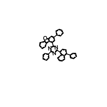 c1ccc(-c2cc(-c3nc(-c4ccccc4)nc(-c4ccc(-c5ccccc5)c5ccccc45)n3)c3c(c2)oc2ccccc23)cc1